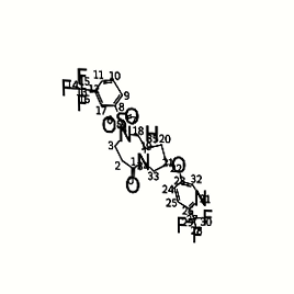 O=C1CCN(S(=O)(=O)c2cccc(C(F)(F)F)c2)C[C@H]2C[C@H](Oc3ccc(C(F)(F)F)nc3)CN12